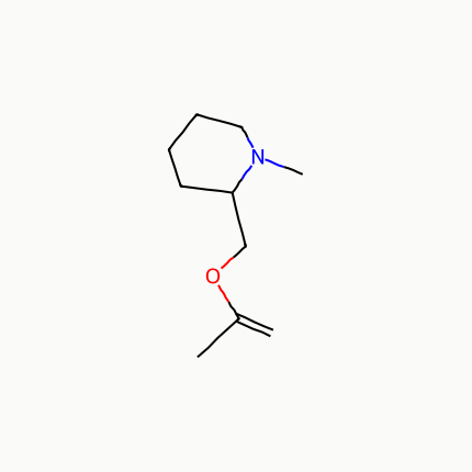 C=C(C)OCC1CCCCN1C